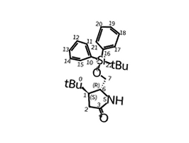 CC(C)(C)[C@@H]1CC(=O)N[C@H]1CO[Si](c1ccccc1)(c1ccccc1)C(C)(C)C